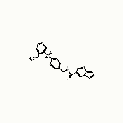 CCc1ccccc1S(=O)(=O)c1ccc(CNC(=O)c2cnc3nccn3c2)cc1